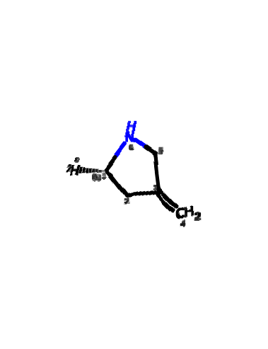 [2H][C@H]1CC(=C)CN1